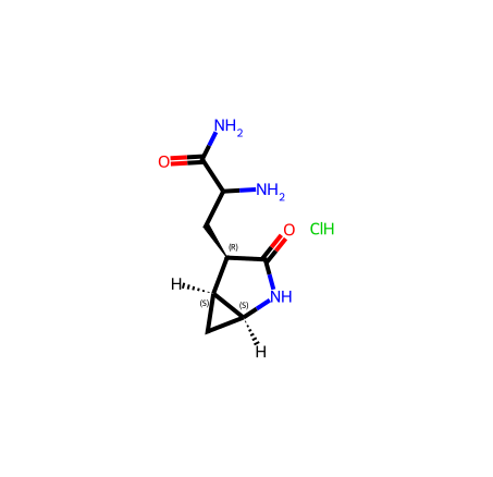 Cl.NC(=O)C(N)C[C@H]1C(=O)N[C@H]2C[C@H]21